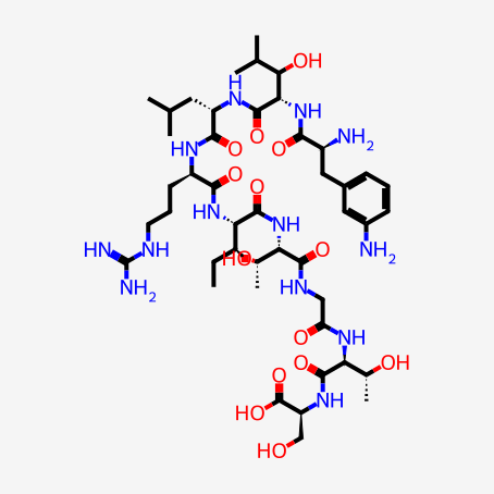 CC[C@H](C)[C@H](NC(=O)[C@@H](CCCNC(=N)N)NC(=O)[C@H](CC(C)C)NC(=O)[C@@H](NC(=O)[C@@H](N)Cc1cccc(N)c1)C(O)C(C)C)C(=O)N[C@H](C(=O)NCC(=O)N[C@H](C(=O)N[C@@H](CO)C(=O)O)[C@@H](C)O)[C@H](C)O